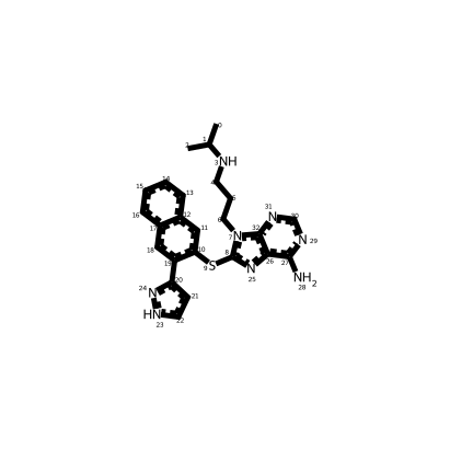 CC(C)NCCCn1c(Sc2cc3ccccc3cc2-c2cc[nH]n2)nc2c(N)ncnc21